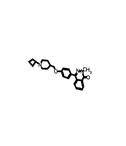 Cn1nc(-c2ccc(OCC3CCN(C4CCC4)CC3)cc2)c2ccccc2c1=O